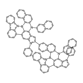 c1ccc(-n2ccc3cc4c5c(c32)N(c2ccc3ccccc3c2)c2ccc3cc(-c6cc7c8c9c(cc7n6-c6ccccc6)-c6cccc7c%10ccccc%10n(c67)B9c6c(ccc7ccccc67)N8c6ccc7ccccc7c6)ccc3c2B5n2c3ccccc3c3cccc-4c32)cc1